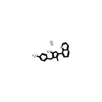 CC1=C(c2cccc3cccnc23)C[C]([Cr+2])=C1Cc1ccc(C(F)(F)F)cc1.[Cl-].[Cl-]